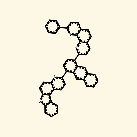 c1ccc(-c2ccc3ccc4ccc(-c5ccc(-c6ccc7c(ccc8sc9ccccc9c87)n6)c6cc7ccccc7cc56)nc4c3n2)cc1